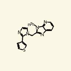 CCCn1c(Cn2ccnc2-c2ccsc2)nc2cccnc21